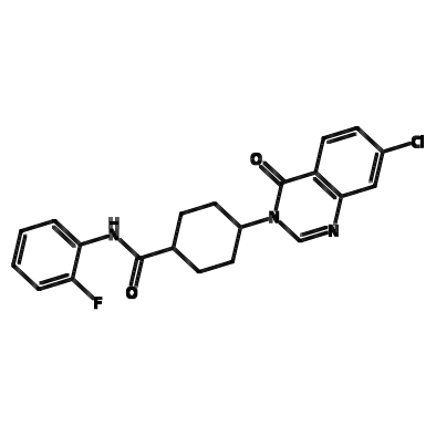 O=C(Nc1ccccc1F)C1CCC(n2cnc3cc(Cl)ccc3c2=O)CC1